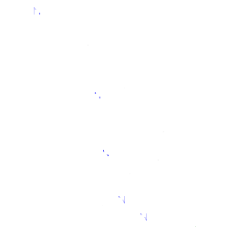 N#Cc1ccc(C2CC2c2cc(Cl)nn3ccnc23)nc1